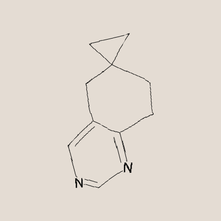 c1ncc2c(n1)CCC1(CC1)C2